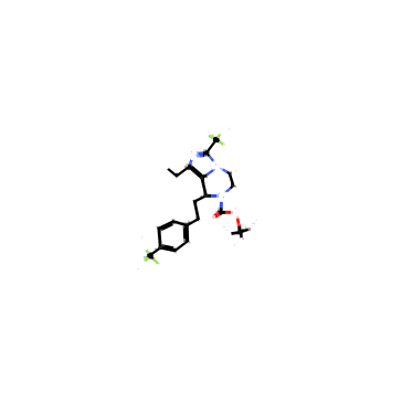 CCc1nc(C(F)(F)F)n2c1C(CCc1ccc(C(F)(F)F)cc1)N(C(=O)OC(C)(C)C)CC2